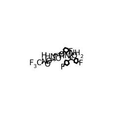 NC(=O)[C@@H](Nc1c(F)cccc1OC[C@@H]1CN[C@H](COC(=O)NCC(F)(F)F)CO1)C(c1ccc(F)cc1)c1ccc(F)cc1